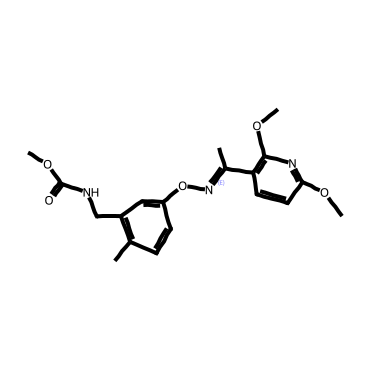 COC(=O)NCc1cc(O/N=C(\C)c2ccc(OC)nc2OC)ccc1C